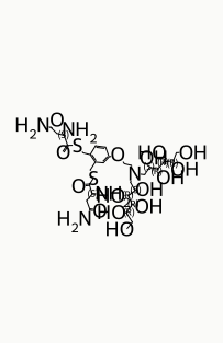 NC(=O)C[C@H](N)C(=O)SCc1ccc(OCCN(C[C@H](O)[C@@H](O)[C@H](O)[C@H](O)CO)C[C@H](O)[C@@H](O)[C@H](O)[C@H](O)CO)cc1CSC(=O)[C@@H](N)CC(N)=O